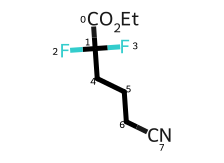 CCOC(=O)C(F)(F)CCCC#N